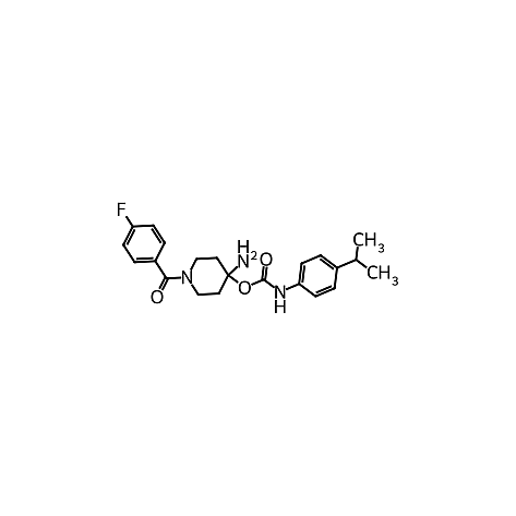 CC(C)c1ccc(NC(=O)OC2(N)CCN(C(=O)c3ccc(F)cc3)CC2)cc1